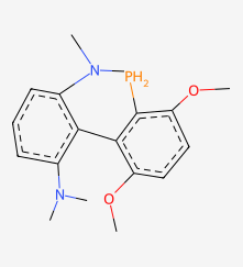 COc1ccc(OC)c(-c2c(N(C)C)cccc2N(C)C)c1P